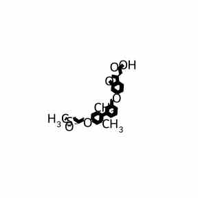 Cc1cc(OCCC[S+](C)[O-])cc(C)c1-c1cccc(COc2ccc3c(c2)OC[C@H]3CC(=O)O)c1